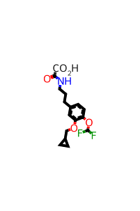 O=C(O)C(=O)NCCCc1ccc(OC(F)F)c(OCC2CC2)c1